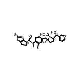 CC(C)(C)[C@@]1(Cc2ccc(NC(=O)[C@H]3CCc4sc(Br)nc43)c(Br)c2)CC[C@H]([C@H](O)c2cccnc2)N1C(=O)O